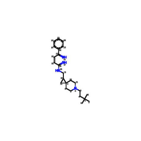 CC(C)(C)CCN1CCC2(CC1)CC2CNC(=N)/C=C\C(=N)c1ccccc1